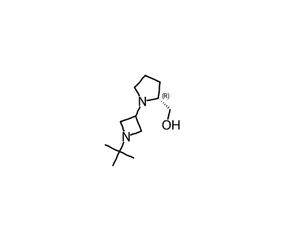 CC(C)(C)N1CC(N2CCC[C@@H]2CO)C1